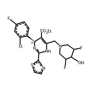 CCOC(=O)C1=C(CN2CC(F)C(O)C(F)C2)NC(c2nccs2)=N[C@H]1c1ccc(F)cc1Cl